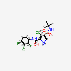 Cn1cc(S(=O)(=O)NC(C)(C)C)c(Cl)c1C(O)Nc1ccc(F)c(Cl)c1F